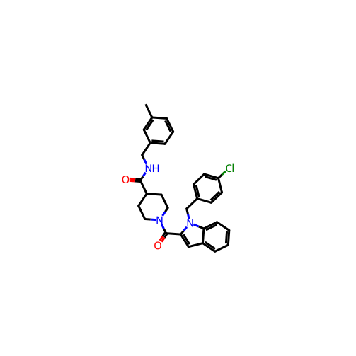 Cc1cccc(CNC(=O)C2CCN(C(=O)c3cc4ccccc4n3Cc3ccc(Cl)cc3)CC2)c1